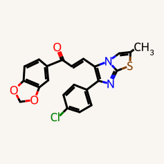 Cc1cn2c(/C=C/C(=O)c3ccc4c(c3)OCO4)c(-c3ccc(Cl)cc3)nc2s1